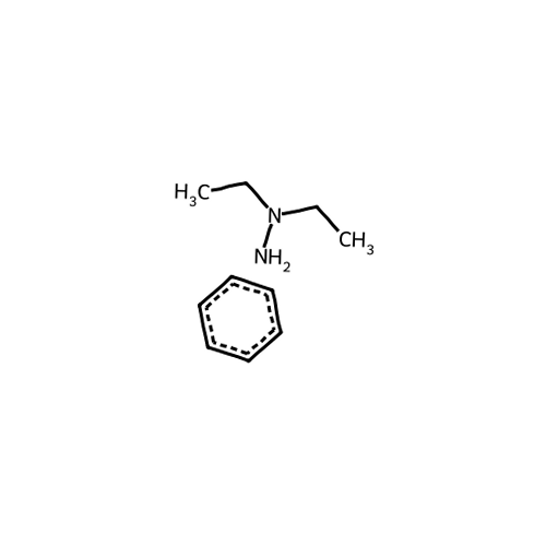 CCN(N)CC.c1ccccc1